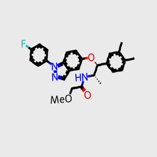 COCC(=O)N[C@@H](C)[C@H](Oc1ccc2c(cnn2-c2ccc(F)cc2)c1)c1ccc(C)c(C)c1